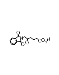 O=C(O)CCCC(=O)CN1C(=O)c2ccccc2C1=O